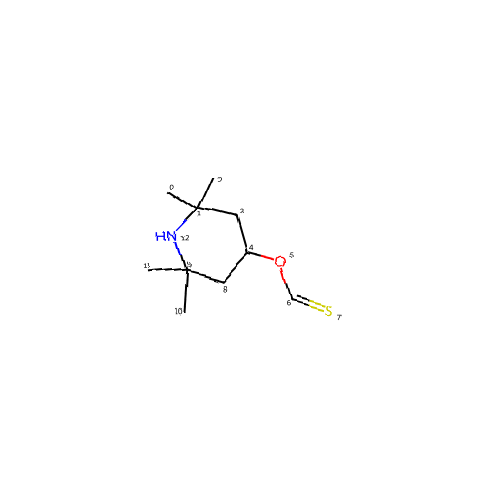 CC1(C)CC(OC=S)CC(C)(C)N1